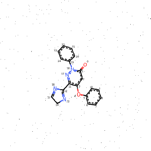 O=c1cc(Oc2ccccc2)c(C2=NCC=N2)nn1-c1ccccc1